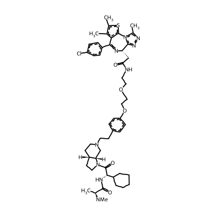 CN[C@@H](C)C(=O)N[C@H](C(=O)N1CC[C@@H]2CCN(CCc3ccc(OCCOCCNC(=O)C[C@@H]4N=C(c5ccc(Cl)cc5)c5c(sc(C)c5C)-n5c(C)nnc54)cc3)C[C@@H]21)C1CCCCC1